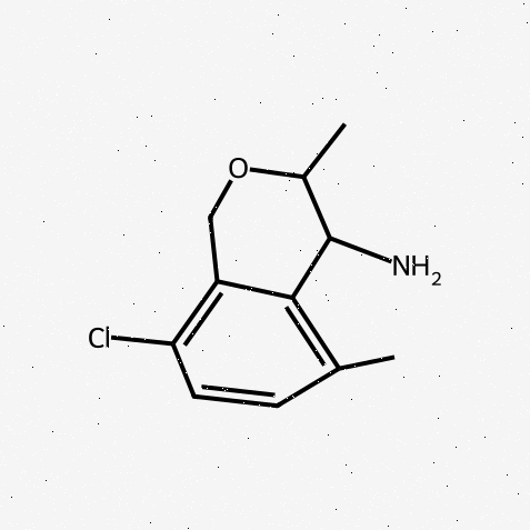 Cc1ccc(Cl)c2c1C(N)C(C)OC2